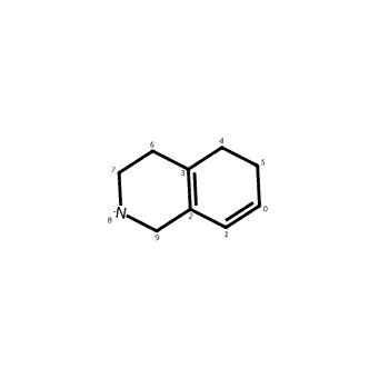 C1=CC2=C(CC1)CC[N]C2